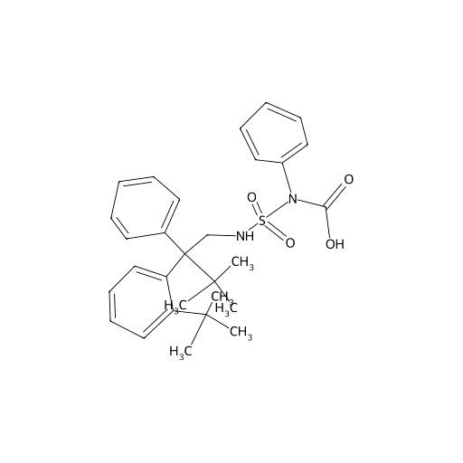 CC(C)(C)c1ccccc1C(CNS(=O)(=O)N(C(=O)O)c1ccccc1)(c1ccccc1)C(C)(C)C